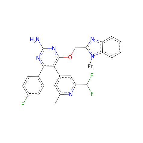 CCn1c(COc2nc(N)nc(-c3ccc(F)cc3)c2-c2cc(C)nc(C(F)F)c2)nc2ccccc21